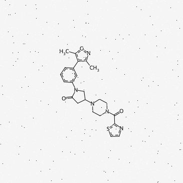 Cc1noc(C)c1-c1cccc(N2CC(N3CCN(C(=O)c4nccs4)CC3)CC2=O)c1